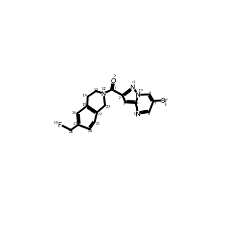 O=C(c1cc2ncc(Br)cn2n1)N1CCc2cc(CF)ccc2C1